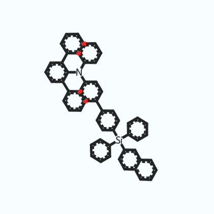 c1ccc(-c2cccc(-c3ccccc3)c2N(c2ccccc2)c2ccc(-c3ccc([Si](c4ccccc4)(c4ccccc4)c4ccc5ccccc5c4)cc3)cc2)cc1